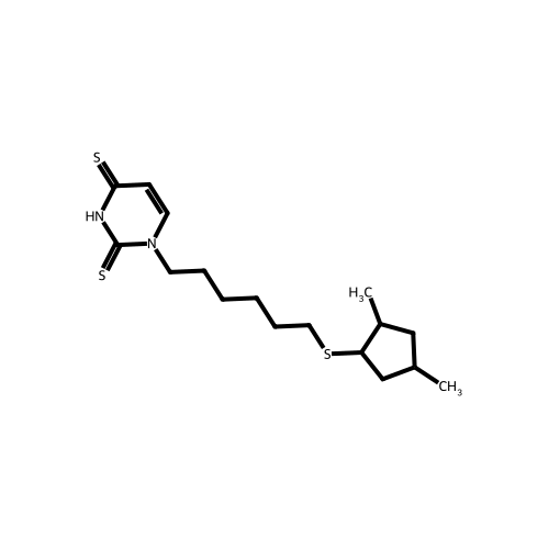 CC1CC(C)C(SCCCCCCn2ccc(=S)[nH]c2=S)C1